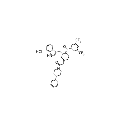 Cl.O=C(CN1CCN(C(=O)c2cc(C(F)(F)F)cc(C(F)(F)F)c2)C(Cc2c[nH]c3ccccc23)C1)N1CCC(c2ccccc2)CC1